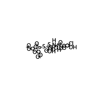 CC(=O)Oc1ccc2c(c1)Oc1cc(OC(C)=O)ccc1C21OC(=O)c2cc(SCC3=C(C(=O)O)N4C(=O)C(NC(=O)CNC(=O)c5cc6cc(Cl)c(O)cc6oc5=O)C4SC3)ccc21